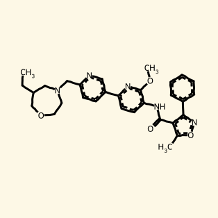 CCC1COCCN(Cc2ccc(-c3ccc(NC(=O)c4c(-c5ccccc5)noc4C)c(OC)n3)cn2)C1